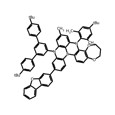 Cc1cc2c3c(c1)N(c1c(C)cc(C(C)(C)C)cc1C)c1c(ccc4c1OCCCO4)B3c1ccc(-c3ccc4c(c3)oc3ccccc34)cc1N2c1cc(-c2ccc(C(C)(C)C)cc2)cc(-c2ccc(C(C)(C)C)cc2)c1